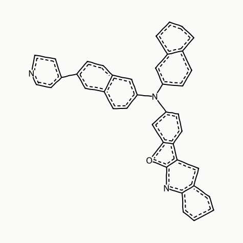 c1ccc2cc(N(c3ccc4cc(-c5ccncc5)ccc4c3)c3ccc4c(c3)oc3nc5ccccc5cc34)ccc2c1